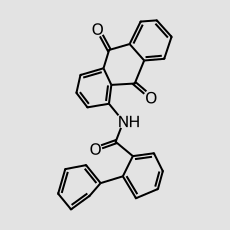 O=C(Nc1cccc2c1C(=O)c1ccccc1C2=O)c1ccccc1-c1ccccc1